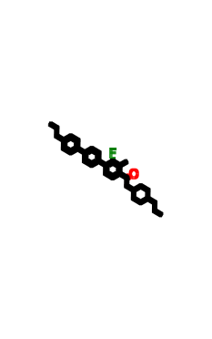 CCCc1ccc(-c2ccc(-c3ccc(C(=O)CC4CCC(CCC)CC4)c(C)c3F)cc2)cc1